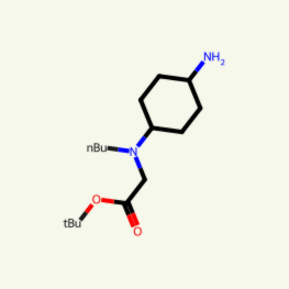 CCCCN(CC(=O)OC(C)(C)C)C1CCC(N)CC1